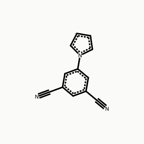 N#Cc1cc(C#N)cc(-n2c[c]cc2)c1